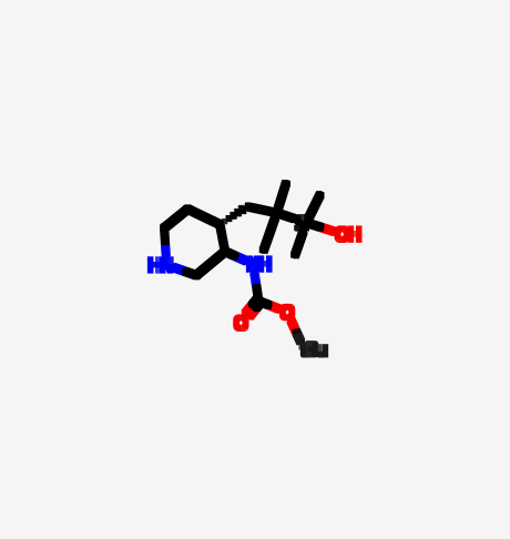 CC(C)(C)OC(=O)NC1CNCC[C@@H]1CC(C)(C)[Si](C)(C)O